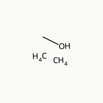 C.C.CO